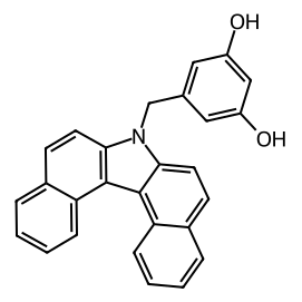 Oc1cc(O)cc(Cn2c3ccc4ccccc4c3c3c4ccccc4ccc32)c1